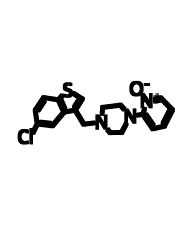 [O-][n+]1ccccc1N1CCN(Cc2csc3ccc(Cl)cc23)CC1